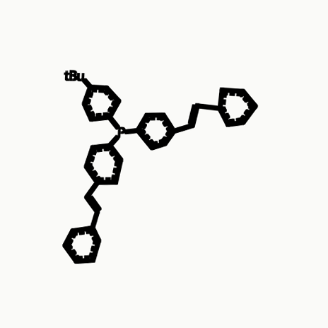 CC(C)(C)c1ccc(P(c2ccc(/C=C/c3ccccc3)cc2)c2ccc(/C=C/c3ccccc3)cc2)cc1